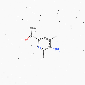 COC(=O)c1cc(C)c(N)c(C)n1